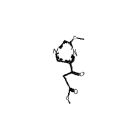 COC(=O)CC(=O)c1cncc(OC)n1